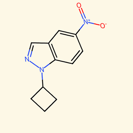 O=[N+]([O-])c1ccc2c(cnn2C2CCC2)c1